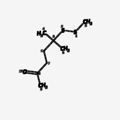 CSSC(C)(C)CCC(C)=O